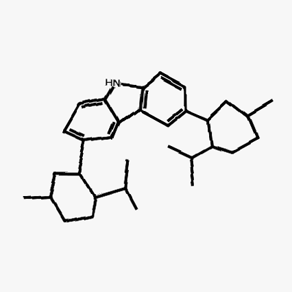 CC1CCC(C(C)C)C(c2ccc3[nH]c4ccc(C5CC(C)CCC5C(C)C)cc4c3c2)C1